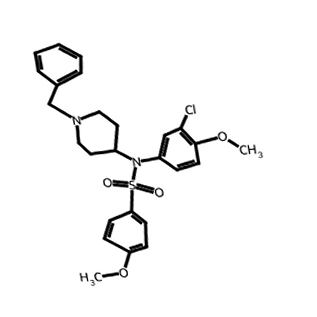 COc1ccc(S(=O)(=O)N(c2ccc(OC)c(Cl)c2)C2CCN(Cc3ccccc3)CC2)cc1